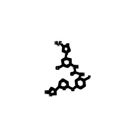 Cc1cn(-c2cc(Cl)cc(NC(=O)Nc3cc(Oc4cccc(-c5cn[nH]c5)n4)ccc3F)c2)cn1